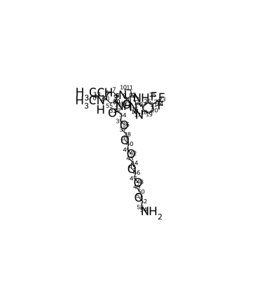 CC(C)(C)N[C@@H]1CC[C@H](N2CC[C@H](Nc3ncnc4ccc(C(F)(F)F)cc34)C2=O)[C@H](NC(=O)CCOCCOCCOCCOCCOCCOCCN)C1